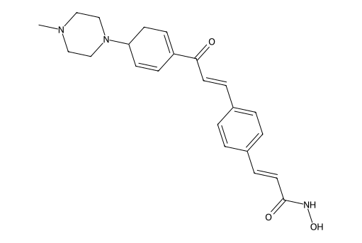 CN1CCN(C2C=CC(C(=O)/C=C/c3ccc(/C=C/C(=O)NO)cc3)=CC2)CC1